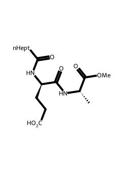 CCCCCCCC(=O)N[C@H](CCC(=O)O)C(=O)N[C@@H](C)C(=O)OC